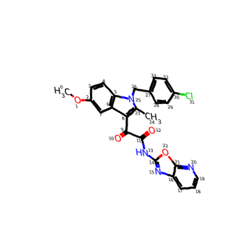 COc1ccc2c(c1)c(C(=O)C(=O)Nc1nc3cccnc3o1)c(C)n2Cc1ccc(Cl)cc1